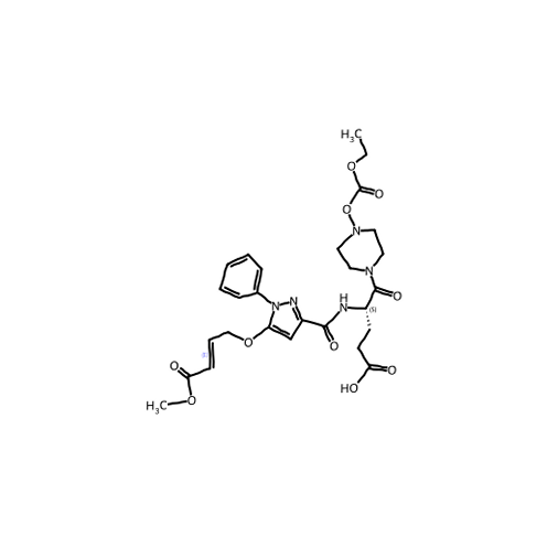 CCOC(=O)ON1CCN(C(=O)[C@H](CCC(=O)O)NC(=O)c2cc(OC/C=C/C(=O)OC)n(-c3ccccc3)n2)CC1